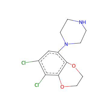 Clc1cc(N2CCNCC2)c2c(c1Cl)OCCO2